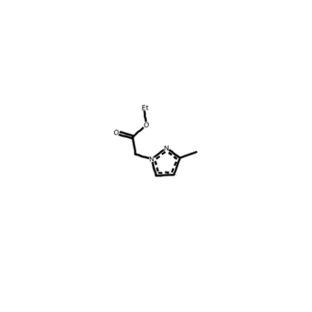 CCOC(=O)Cn1c[c]c(C)n1